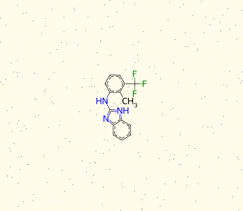 Cc1c(Nc2nc3ccccc3[nH]2)cccc1C(F)(F)F